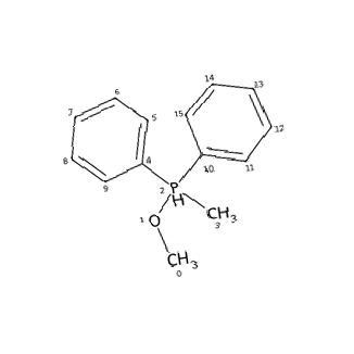 CO[PH](C)(c1ccccc1)c1ccccc1